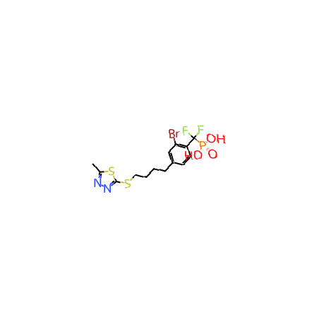 Cc1nnc(SCCCCc2ccc(C(F)(F)P(=O)(O)O)c(Br)c2)s1